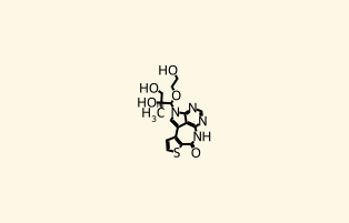 C[C@@](O)(CO)C(OCCO)n1cc2c3c(ncnc31)NC(=O)c1sccc1-2